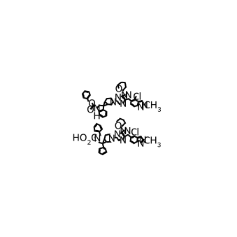 Cn1cc2c(Cl)c(-c3nn(C4CCCCO4)c4nc(N5CCC6C(C5)C6(CN(Cc5ccccc5)C(=O)O)c5ccccc5)cnc34)ccc2n1.Cn1cc2c(Cl)c(-c3nn(C4CCCCO4)c4nc(N5CCC6C(C5)C6(CNC(=O)OCc5ccccc5)c5ccccc5)cnc34)ccc2n1